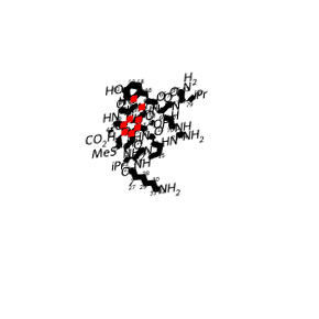 CSCC[C@H](NC(=O)[C@H](CO)NC(=O)[C@H]1CCCN1C(=O)[C@H](CC(C)C)NC(=O)[C@@H](C)CCCCN)C(=O)N[C@H](C(=O)N[C@@H](CC(=O)O)C(=O)N[C@@H](CCCCN)C(=O)N[C@@H](Cc1ccc(O)cc1)C(=O)N[C@@H](CCCNC(=N)N)C(=O)N[C@@H](CC(C)C)C(N)=O)[C@@H](C)O